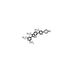 Cc1cc(-c2[nH]c3cc(-c4cnc(N5CCNCC5)cc4C)ccc3c2C)cc(C)n1